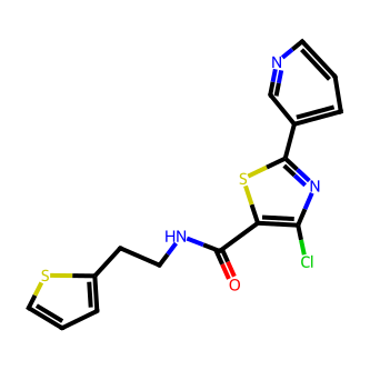 O=C(NCCc1cccs1)c1sc(-c2cccnc2)nc1Cl